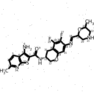 Cc1ccc2c(N)c(C(=O)N[C@H]3COc4cc(/N=C/C5CNCC(C)O5)c(F)c(F)c4C3)sc2n1